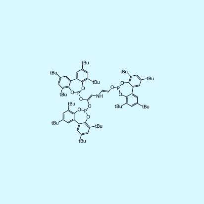 CC(C)(C)c1cc(C(C)(C)C)c2op(OC=CNC=C(Op3oc4c(C(C)(C)C)cc(C(C)(C)C)cc4c4cc(C(C)(C)C)cc(C(C)(C)C)c4o3)Op3oc4c(C(C)(C)C)cc(C(C)(C)C)cc4c4cc(C(C)(C)C)cc(C(C)(C)C)c4o3)oc3c(C(C)(C)C)cc(C(C)(C)C)cc3c2c1